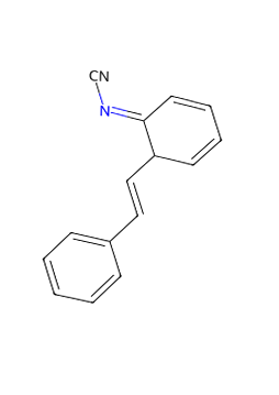 N#CN=C1C=CC=CC1C=Cc1ccccc1